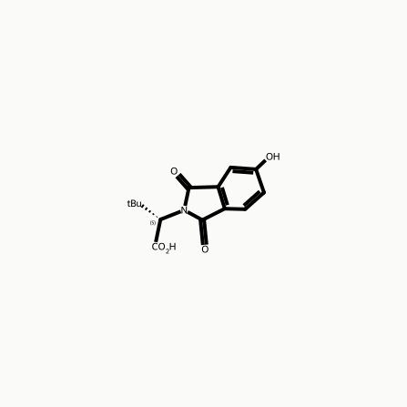 CC(C)(C)[C@@H](C(=O)O)N1C(=O)c2ccc(O)cc2C1=O